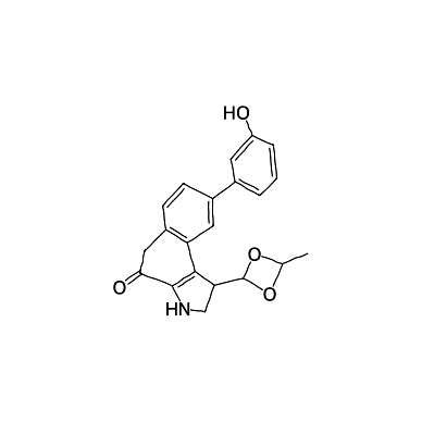 CC1OC(C2CNC3=C2c2cc(-c4cccc(O)c4)ccc2CC3=O)O1